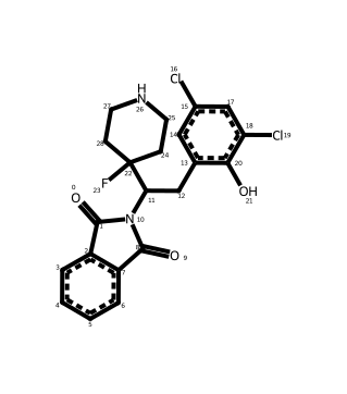 O=C1c2ccccc2C(=O)N1C(Cc1cc(Cl)cc(Cl)c1O)C1(F)CCNCC1